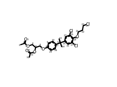 CC(=O)OCC(COc1ccc(C(C)(C)c2cc(Cl)c(OCCCCl)c(Cl)c2)cc1)OC(C)=O